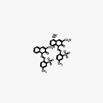 Cc1ccc(N=NC2C(=O)C(C(=O)O)=Cc3ccccc32)c(S(=O)(=O)[O-])c1.Cc1ccc(N=NC2C(=O)C(C(=O)O)=Cc3ccccc32)c(S(=O)(=O)[O-])c1.[Na+].[Na+]